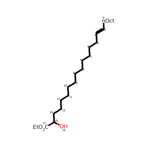 CCCCCCCCC=CCCCCCCCCCCCCC(O)C(=O)OCC